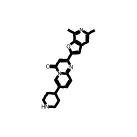 Cc1cc2cc(-c3cc(=O)n4cc(C5CCNCC5)ccc4n3)oc2c(C)n1